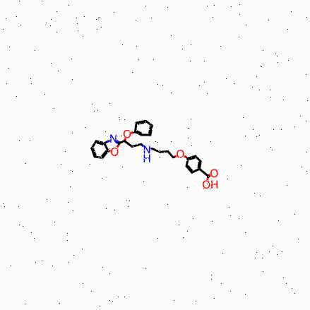 O=C(O)c1ccc(OCCCCNCCC(Oc2ccccc2)c2nc3ccccc3o2)cc1